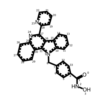 O=C(NO)c1ccc(Cn2c3ccccc3c3c(-c4ccccn4)nc4ccccc4c32)cc1